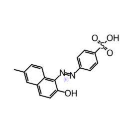 Cc1ccc2c(/N=N/c3ccc(S(=O)(=O)O)cc3)c(O)ccc2c1